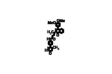 COc1ccc(C2=NN(C(C)CCC(=O)Nc3ccc(C4=NNC(=O)CC4C)cc3)C(=O)C3CC=CCC23)cc1OC